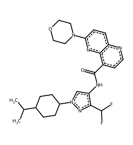 CC(C)C1CCC(n2cc(NC(=O)c3ccnc4ccc(N5CCOCC5)nc34)c(C(F)F)n2)CC1